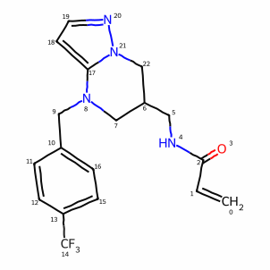 C=CC(=O)NCC1CN(Cc2ccc(C(F)(F)F)cc2)c2ccnn2C1